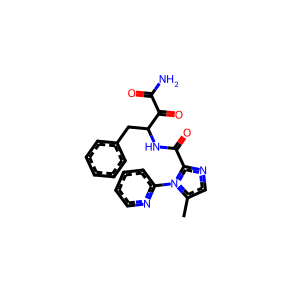 Cc1cnc(C(=O)NC(Cc2ccccc2)C(=O)C(N)=O)n1-c1ccccn1